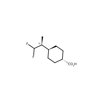 C[C@H](C(F)F)[C@H]1CC[C@H](C(=O)O)CC1